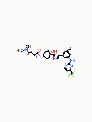 Cc1cc(Nc2nccc(C(F)(F)F)n2)cc(-c2cnc([C@]3(O)CC[C@H](NC(=O)CCC(=O)N(C)C)CC3)s2)c1